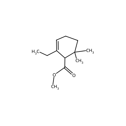 CCC1=CCCC(C)(C)C1C(=O)OC